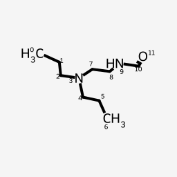 CCCN(CCC)CCNC=O